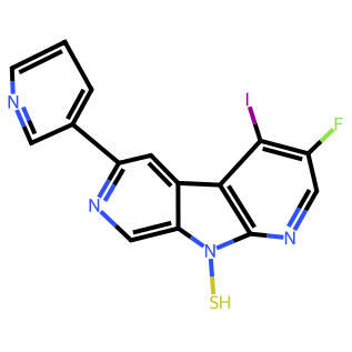 Fc1cnc2c(c1I)c1cc(-c3cccnc3)ncc1n2S